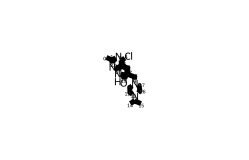 Cc1nc(Cl)c2cc(CN3CCN(C(C)C)CC3)c(=O)[nH]c2n1